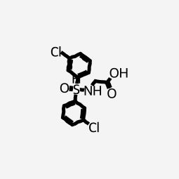 O=C(O)CN[SH](=O)(c1cccc(Cl)c1)c1cccc(Cl)c1